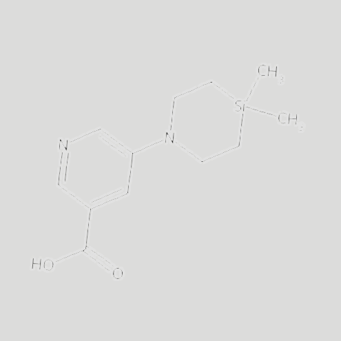 C[Si]1(C)CCN(c2cncc(C(=O)O)c2)CC1